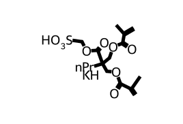 C=C(C)C(=O)OCC(CCC)(COC(=O)C(=C)C)C(=O)OCS(=O)(=O)O.[KH]